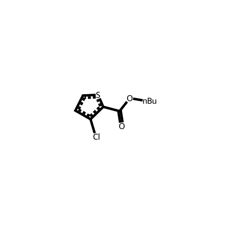 CCCCOC(=O)c1sccc1Cl